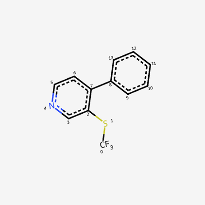 FC(F)(F)Sc1cnccc1-c1ccccc1